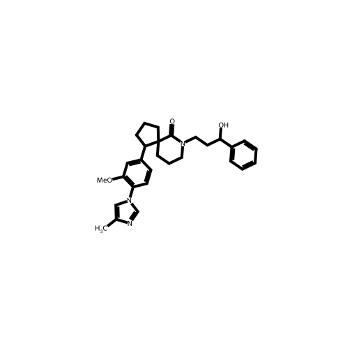 COc1cc(C2CCCC23CCCN(CCC(O)c2ccccc2)C3=O)ccc1-n1cnc(C)c1